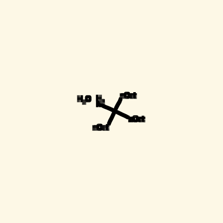 CCCCCCCCC(N)(CCCCCCCC)CCCCCCCC.O